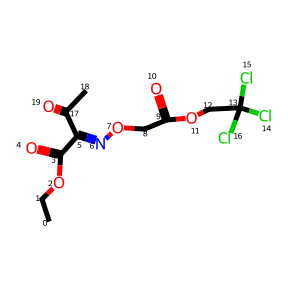 CCOC(=O)C(=NOCC(=O)OCC(Cl)(Cl)Cl)C(C)=O